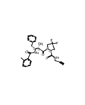 C#CCNC(=O)[C@@H]1CC(F)(F)CN1C(=O)[C@@H](O)[C@H](Cc1ccccc1)NC(=O)c1ccccc1C